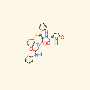 O=C(CN1C(=O)[C@@H](NC(=O)[C@@H]2CCC(=O)N2)[C@@H](c2ccccc2)Sc2ccccc21)Nc1ccccc1